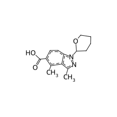 Cc1nn(C2CCCCO2)c2ccc(C(=O)O)c(C)c12